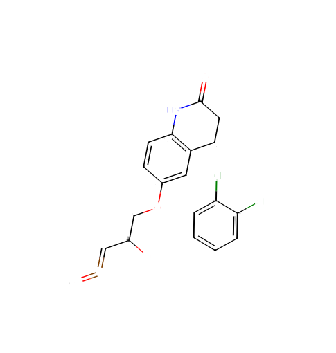 Clc1ccccc1Cl.O=S=CC(O)COc1ccc2c(c1)CCC(=O)N2